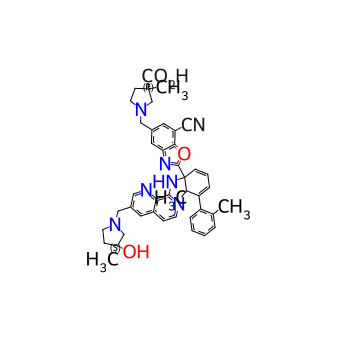 Cc1ccccc1C1=CC=CC(Nc2nccc3cc(CN4CC[C@](C)(O)C4)cnc23)(c2nc3cc(CN4CC[C@@](C)(C(=O)O)C4)cc(C#N)c3o2)C1C